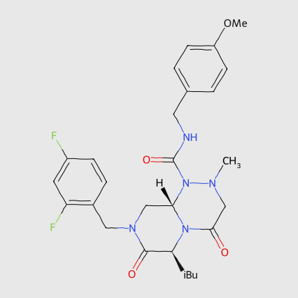 CCC(C)[C@H]1C(=O)N(Cc2ccc(F)cc2F)C[C@H]2N1C(=O)CN(C)N2C(=O)NCc1ccc(OC)cc1